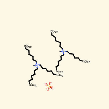 CCCCCCCCCCCCCCCC[N+](C)(CCCCCCCCCCCCCCCC)CCCCCCCCCCCCCCCC.CCCCCCCCCCCCCCCC[N+](C)(CCCCCCCCCCCCCCCC)CCCCCCCCCCCCCCCC.O=S(=O)([O-])[O-]